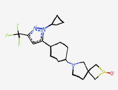 [O-][S+]1CC2(CCN(C3CCC(c4cc(C(F)(F)F)nn4C4CC4)CC3)C2)C1